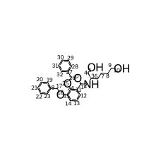 O=C(N[C@@H](CO)CCCCO)c1cccc(OCc2ccccc2)c1OCc1ccccc1